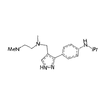 CNCCN(C)Cc1c[nH]nc1-c1ccc(NC(C)C)cc1